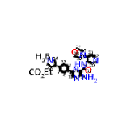 BN1C[C@@H](C(=O)OCC)[C@H](c2ccc(-c3cnc(N)c(C(=O)Nc4cnccc4N4CCOCC4)n3)cc2)C1